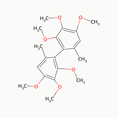 COc1cc(C)c(-c2c(C)cc(OC)c(OC)c2OC)c(OC)c1OC